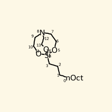 CCCCCCCCCCC[Si]12OCCN(CCO1)CCO2